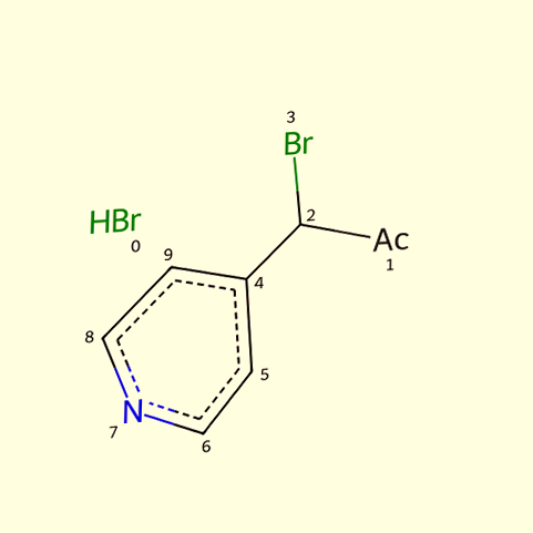 Br.CC(=O)C(Br)c1ccncc1